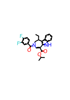 CCC1CN(C(=O)c2ccc(F)c(F)c2)C=C(C(=O)OC(C)C)c2[nH]c3ccccc3c21